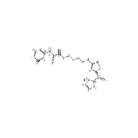 O=C(NCCCCCCC1CCN(C(=O)c2ccc[nH]2)C1)Nc1cccnc1